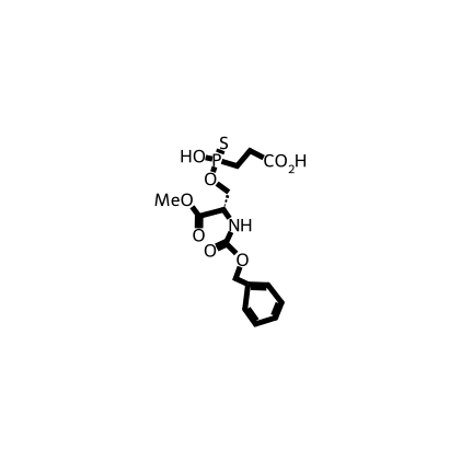 COC(=O)[C@H](COP(O)(=S)CCC(=O)O)NC(=O)OCc1ccccc1